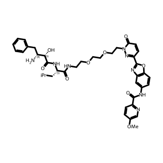 COc1ccc(C(=O)Nc2ccc3oc(-c4ccc(=O)n(CCOCCOCCNC(=O)[C@H](CC(C)C)NC(=O)[C@@H](O)[C@H](N)Cc5ccccc5)n4)nc3c2)nc1